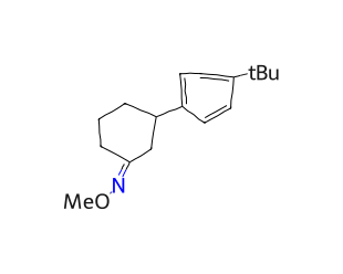 CON=C1CCCC(c2ccc(C(C)(C)C)cc2)C1